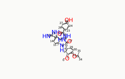 COc1cc(C(Nc2ccc(C(=N)N)cc2)C(=O)NNC(=O)c2ccc(O)cc2)ccc1OC(C)C